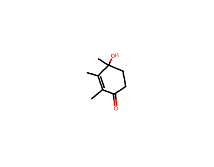 CC1=C(C)C(C)(O)CCC1=O